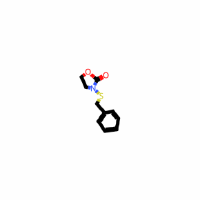 O=C1OCCN1SCc1ccccc1